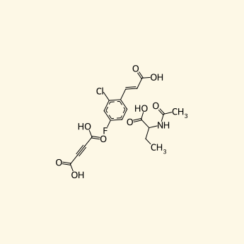 CCC(NC(C)=O)C(=O)O.O=C(O)C#CC(=O)O.O=C(O)C=Cc1ccc(F)cc1Cl